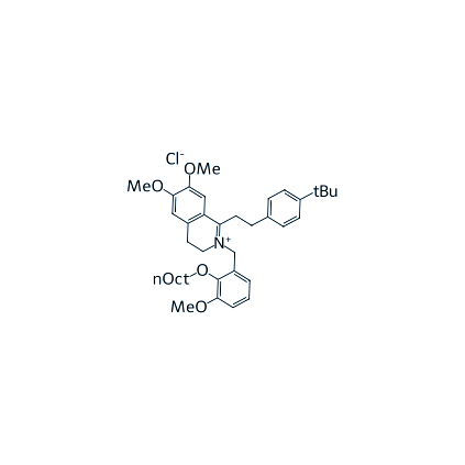 CCCCCCCCOc1c(C[N+]2=C(CCc3ccc(C(C)(C)C)cc3)c3cc(OC)c(OC)cc3CC2)cccc1OC.[Cl-]